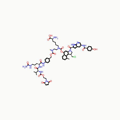 Cc1cccc2c(OC(=O)N(CCCC[C@H](N)C(=O)O)CCN(C)C(=O)OCc3ccc(NC(=O)[C@H](CCCNC(N)=O)NC(=O)[C@@H](NC(=O)OCCN4C(=O)C=CC4=O)C(C)C)cc3)cc3c(c12)[C@H](CCl)CN3C(=O)c1cc2cc(NC(=O)c3ccc(O)cc3)cnc2[nH]1